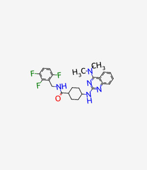 CN(C)c1nc(NC2CCC(C(=O)NCc3c(F)ccc(F)c3F)CC2)nc2ccccc12